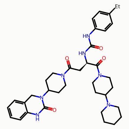 CCc1ccc(NC(=O)N[C@H](CC(=O)N2CCC(N3Cc4ccccc4NC3=O)CC2)C(=O)N2CCC(N3CCCCC3)CC2)cc1